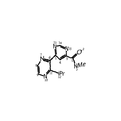 CNC(=O)c1cc(-c2nccnc2C(C)C)ncn1